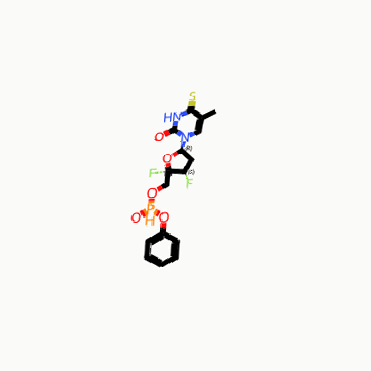 Cc1cn([C@H]2C[C@H](F)[C@@](F)(CO[PH](=O)Oc3ccccc3)O2)c(=O)[nH]c1=S